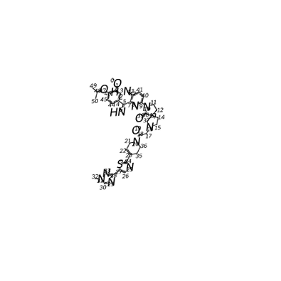 COc1cc(C(=N)c2nc(N3CC[C@]4(CCN(CC(=O)N5CC=C(c6ncc(-c7ncn(C)n7)s6)CC5)C4)C3=O)ccc2N)ccc1OC(C)C